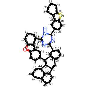 C1=C2C(=C(c3ccc4oc5cccc(C6=NC(c7ccccc7)=NC(c7ccc8sc9ccccc9c8c7)N6)c5c4c3)CC1)c1cccc3cccc2c13